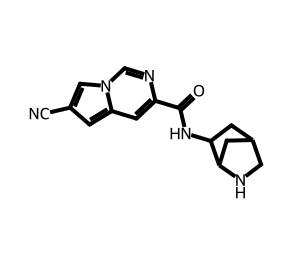 N#Cc1cc2cc(C(=O)NC3CC4CNC3C4)ncn2c1